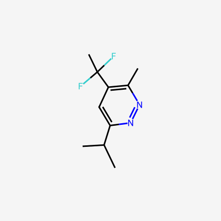 Cc1nnc(C(C)C)cc1C(C)(F)F